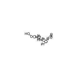 CC(C)c1ccc(N2C[C@H](CS(C)(=O)=O)[C@H]2C)c2cnc(Nc3ccnc(N4CCC(OCCO)CC4)n3)cc12